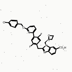 O=C(O)c1ccc2nc(Cc3cc(F)c(-c4cccc(OCc5ccc(Cl)cc5)n4)cc3F)n(C[C@@H]3CCO3)c2c1